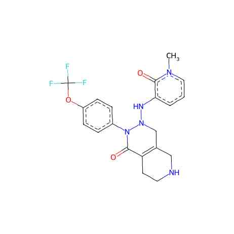 Cn1cccc(NN2CC3=C(CCNC3)C(=O)N2c2ccc(OC(F)(F)F)cc2)c1=O